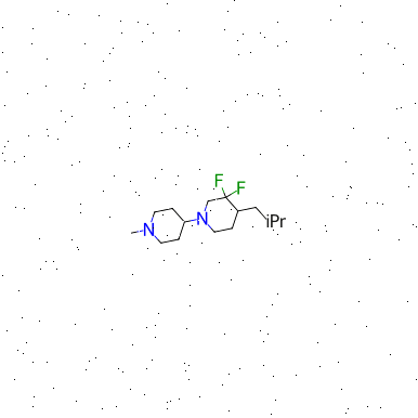 CC(C)CC1CCN(C2CCN(C)CC2)CC1(F)F